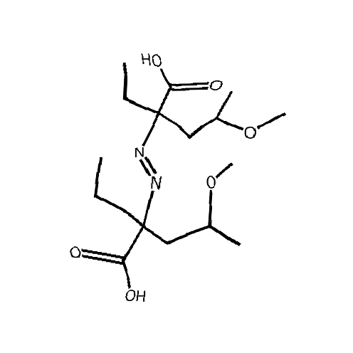 CCC(CC(C)OC)(N=NC(CC)(CC(C)OC)C(=O)O)C(=O)O